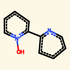 O[n+]1ccccc1-c1ccccn1